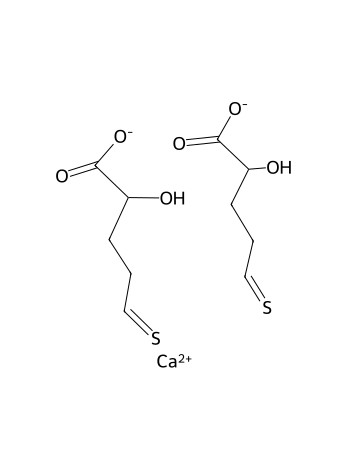 O=C([O-])C(O)CCC=S.O=C([O-])C(O)CCC=S.[Ca+2]